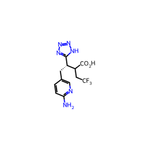 Nc1ccc(C[C@H](c2nnn[nH]2)C(CC(F)(F)F)C(=O)O)cn1